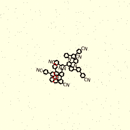 N#Cc1ccc(-c2ccc3c(c2)c2ccccc2n3-c2ccc(C#N)cc2-c2ccc(-c3cc(-c4ccccc4)nc(-c4ccc(-c5cc(C#N)ccc5-n5c6ccccc6c6cc(-c7ccc(C#N)cc7)ccc65)c(-n5c6ccccc6c6cc(-c7ccc(C#N)cc7)ccc65)c4)n3)cc2-n2c3ccccc3c3cc(-c4ccc(C#N)cc4)ccc32)cc1